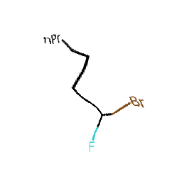 CCCCCC(F)Br